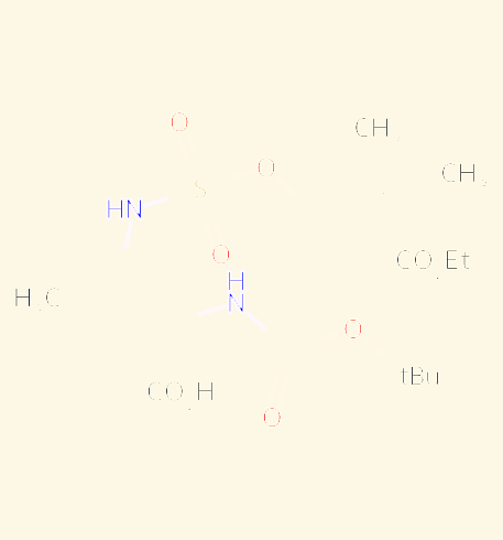 CCOC(=O)C(C)(C)COS(=O)(=O)N[C@@H](C)[C@H](NC(=O)OC(C)(C)C)C(=O)O